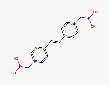 OP(O)C[n+]1ccc(C=Cc2cc[n+](CP(O)O)cc2)cc1